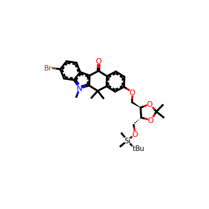 Cn1c2c(c3ccc(Br)cc31)C(=O)c1ccc(OC[C@H]3OC(C)(C)O[C@@H]3CO[Si](C)(C)C(C)(C)C)cc1C2(C)C